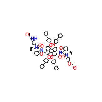 CC(C)N(C(=O)C(c1ccccc1)N1C(=O)c2cc(Oc3ccc(-c4ccccc4)cc3)c3c4c(Oc5ccc(-c6ccccc6)cc5)cc5c6c(cc(Oc7ccc(-c8ccccc8)cc7)c(c7c(Oc8ccc(-c9ccccc9)cc8)cc(c2c37)C1=O)c64)C(=O)N(C(C(=O)N(c1ccc(OCC2CO2)cc1)C(C)C)c1ccccc1)C5=O)c1ccc(NCC2CO2)cc1